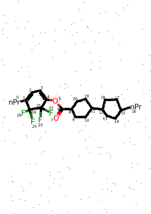 CCCC1=CC=C(OC(=O)C2CCC(C3CCC(CCC)CC3)CC2)C(F)(F)C1(F)F